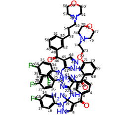 Nc1cccc(C(=O)C2=CNN(c3ccc(F)cc3)C2(N)NC2=N[N+](c3ccc(F)cc3)(N(c3ccc(F)cc3F)c3[nH]ncc3C(=O)c3cccc(CCCN4CCOCC4)c3)C=C2C(=O)c2cccc(OCCN3CCOCC3)c2)c1